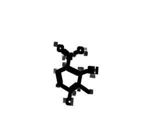 Cc1c(Cl)ccc([N+](=O)[O-])c1S